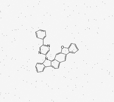 c1ccc(-c2cnc(-n3c4ccccc4c4ccc5cc6c(cc5c43)oc3ccccc36)cn2)cc1